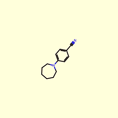 N#Cc1ccc(N2CCCCCC2)cc1